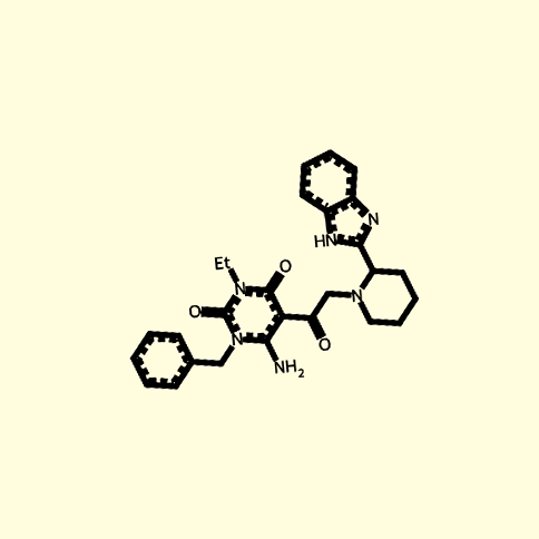 CCn1c(=O)c(C(=O)CN2CCCCC2c2nc3ccccc3[nH]2)c(N)n(Cc2ccccc2)c1=O